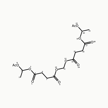 CC(=O)OC(C)OC(=O)CCC(=O)OCOC(=O)CCC(=O)OC(C)OC(C)=O